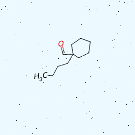 CCCCC1(C=O)CCCCC1